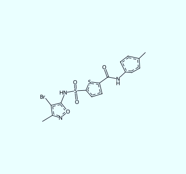 Cc1ccc(NC(=O)c2ccc(S(=O)(=O)Nc3onc(C)c3Br)s2)cc1